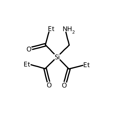 CCC(=O)[Si](CN)(C(=O)CC)C(=O)CC